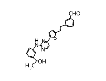 CC(O)c1cccc(Nc2nccc(-c3ccc(/C=C/c4cccc(C=O)c4)s3)n2)c1